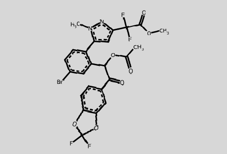 COC(=O)C(F)(F)c1cc(-c2ccc(Br)cc2C(OC(C)=O)C(=O)c2ccc3c(c2)OC(F)(F)O3)n(C)n1